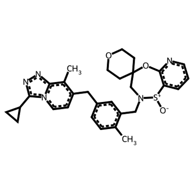 Cc1ccc(Cc2ccn3c(C4CC4)nnc3c2C)cc1CN1CC2(CCOCC2)Oc2ncccc2[S+]1[O-]